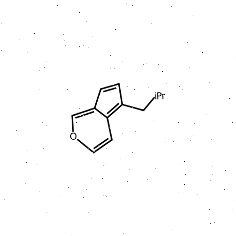 [CH2]C(C)Cc1ccc2coccc1-2